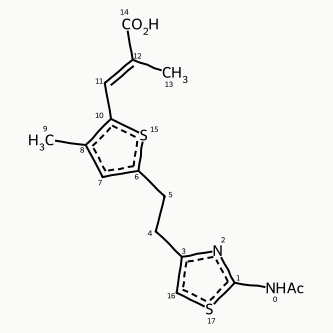 CC(=O)Nc1nc(CCc2cc(C)c(C=C(C)C(=O)O)s2)cs1